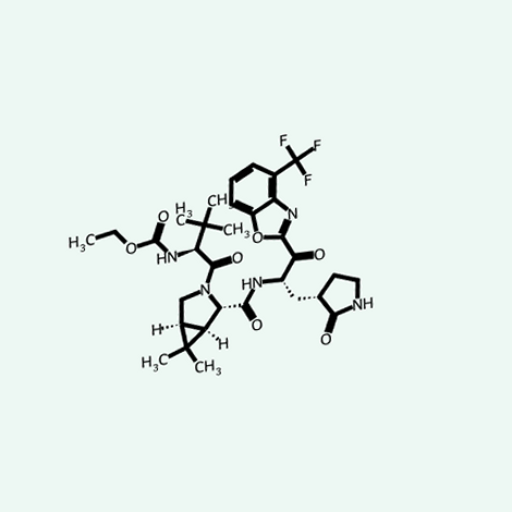 CCOC(=O)N[C@H](C(=O)N1C[C@H]2[C@@H]([C@H]1C(=O)N[C@@H](C[C@@H]1CCNC1=O)C(=O)c1nc3c(C(F)(F)F)cccc3o1)C2(C)C)C(C)(C)C